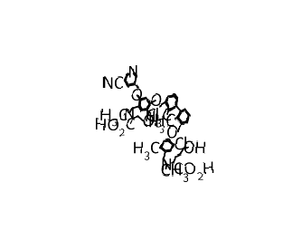 Cc1cc(OCc2cccc(-c3cccc(COc4cc(OCc5cncc(C#N)c5)c(CN(C)[C@@H](CCO)C(=O)O)cc4Cl)c3C)c2C)c(Cl)cc1CN(C)[C@@H](CCCO)C(=O)O